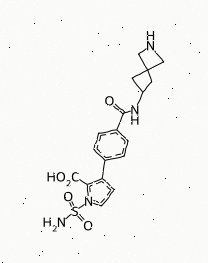 NS(=O)(=O)n1ccc(-c2ccc(C(=O)NC3CC4(CNC4)C3)cc2)c1C(=O)O